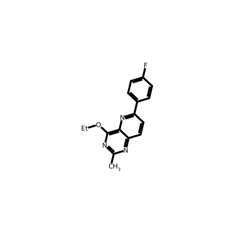 CCOc1nc(C)nc2ccc(-c3ccc(F)cc3)nc12